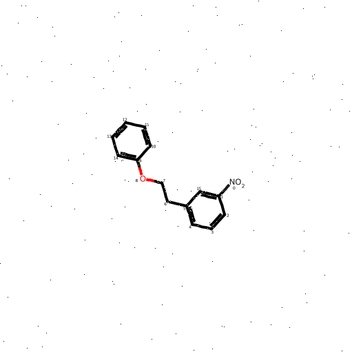 O=[N+]([O-])c1cccc(CCOc2[c]cccc2)c1